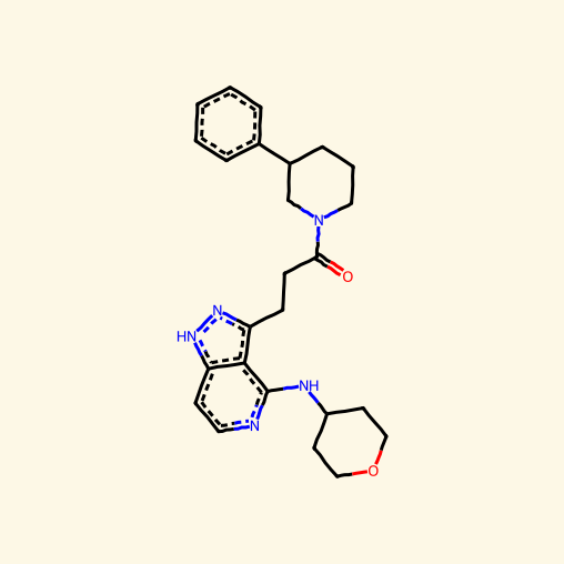 O=C(CCc1n[nH]c2ccnc(NC3CCOCC3)c12)N1CCCC(c2ccccc2)C1